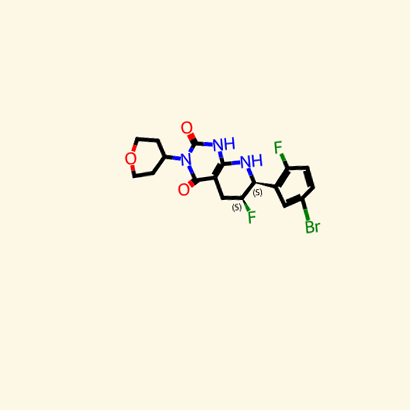 O=c1[nH]c2c(c(=O)n1C1CCOCC1)C[C@H](F)[C@H](c1cc(Br)ccc1F)N2